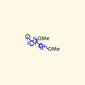 COCCn1cc(-c2c(OC)nc3c(N4CCCC4)nccn23)cn1